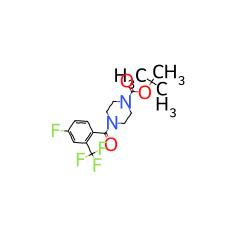 CC(C)(C)OC(=O)N1CCN(C(=O)c2ccc(F)cc2C(F)(F)F)CC1